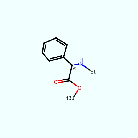 CCN[C@@H](C(=O)OC(C)(C)C)c1ccccc1